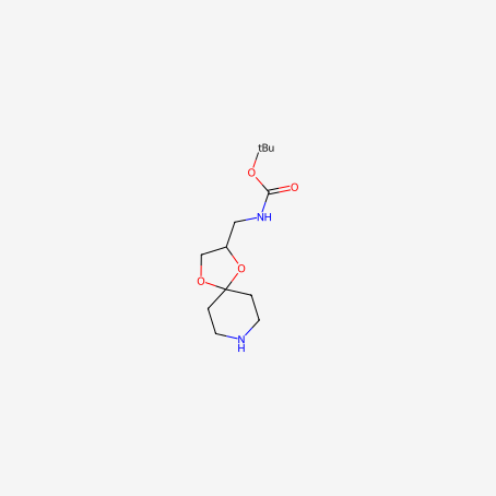 CC(C)(C)OC(=O)NCC1COC2(CCNCC2)O1